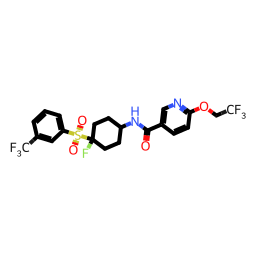 O=C(NC1CCC(F)(S(=O)(=O)c2cccc(C(F)(F)F)c2)CC1)c1ccc(OCC(F)(F)F)nc1